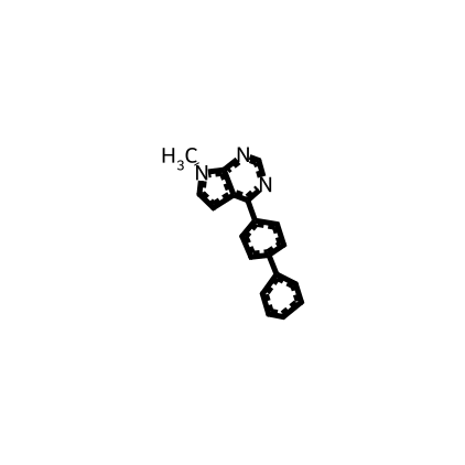 Cn1ccc2c(-c3ccc(-c4ccccc4)cc3)ncnc21